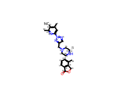 Cc1cc(-n2ncc(CN3C[C@@H](c4ccc5c(c4C)COC5=O)N[C@@H](C)C3)n2)nc(C)c1C#N